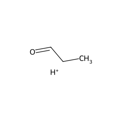 CCC=O.[H+]